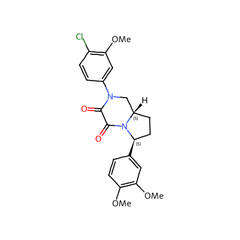 COc1cc(N2C[C@@H]3CC[C@@H](c4ccc(OC)c(OC)c4)N3C(=O)C2=O)ccc1Cl